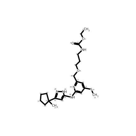 CCOC(=O)NCCCOCc1cc(SC)cc(Nc2cc(C3(C)CCCC3)n[nH]2)n1